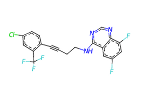 Fc1cc(F)c2ncnc(NCCC#Cc3ccc(Cl)cc3C(F)(F)F)c2c1